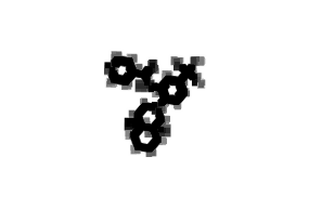 FC(F)(F)c1ccc(N2CC[C@H]3CCCC[C@@H]3C2)c(NC(=S)c2ccncc2)c1